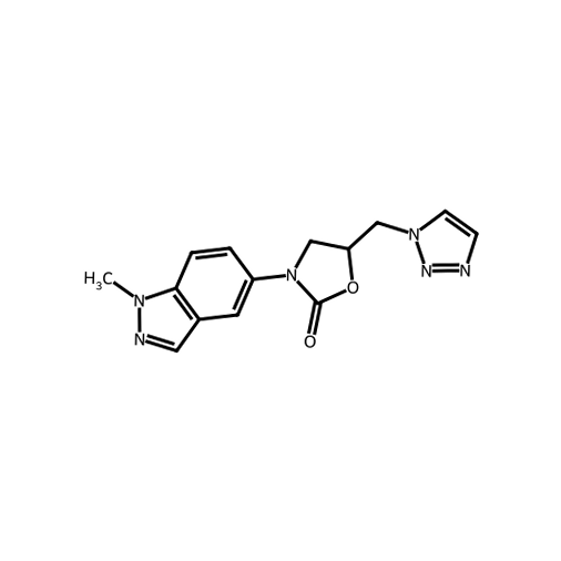 Cn1ncc2cc(N3CC(Cn4ccnn4)OC3=O)ccc21